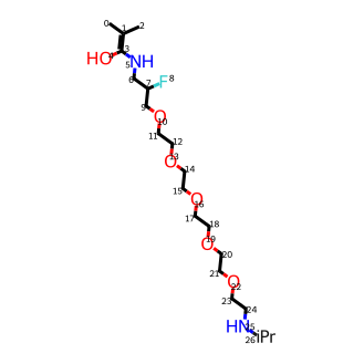 CC(C)=C(O)NCC(F)COCCOCCOCCOCCOCCNC(C)C